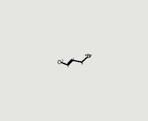 Cl[C]=CCBr